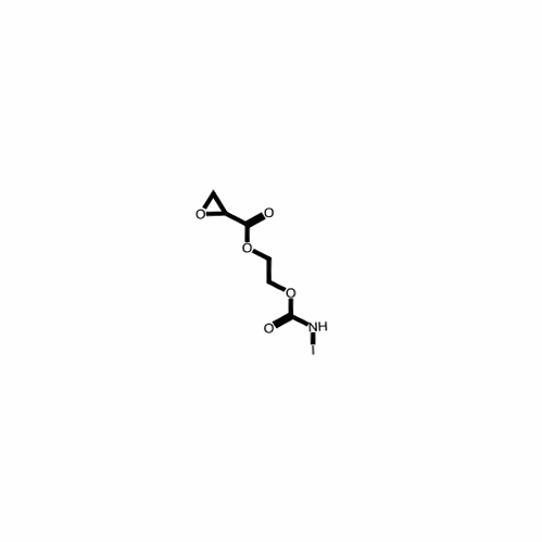 O=C(NI)OCCOC(=O)C1CO1